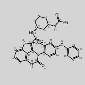 CCC(=O)N[C@@H]1CCC[C@H](NC(=O)c2sc3nccc4c3c2N(c2ccc(Oc3ccccc3)nc2C)C(=O)N4)C1